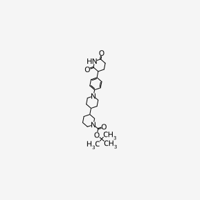 CC(C)(C)OC(=O)N1CCCC(C2CCN(c3ccc(C4CCC(=O)NC4=O)cc3)CC2)C1